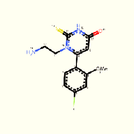 COc1cc(F)ccc1-c1cc(=O)[nH]c(=S)n1CCN